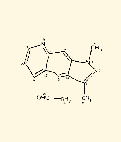 Cc1nn(C)c2cc3ncccc3cc12.NC=O